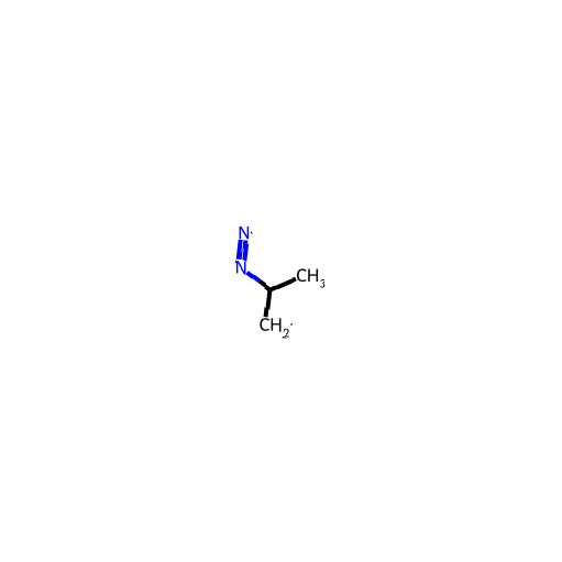 [CH2]C(C)N=[N]